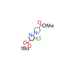 COC(=O)C1CCN(c2ncc(C(=O)OC(C)(C)C)cc2Cl)CC1